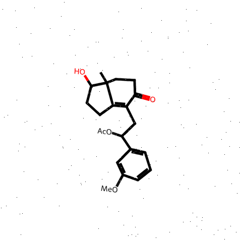 COc1cccc(C(CC2=C3CCC(O)C3(C)CCC2=O)OC(C)=O)c1